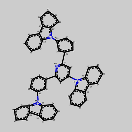 c1cc(-c2cc(-n3c4ccccc4c4ccccc43)cc(-c3cccc(-n4c5ccccc5c5ccccc54)c3)n2)cc(-n2c3ccccc3c3ccccc32)c1